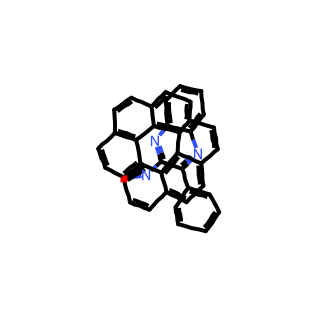 c1ccc(-c2nc3ccccc3nc2-n2c3ccc4ccc5ccc6ccc7ccc8ccc2c2c8c7c6c5c4c23)cc1